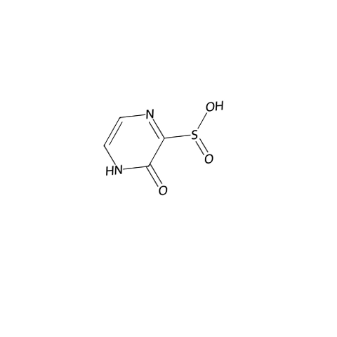 O=c1[nH]ccnc1S(=O)O